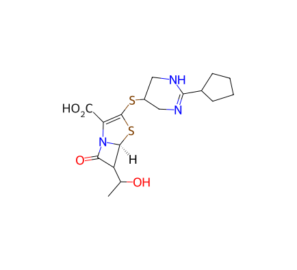 CC(O)C1C(=O)N2C(C(=O)O)=C(SC3CN=C(C4CCCC4)NC3)S[C@@H]12